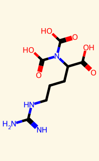 N=C(N)NCCCC(C(=O)O)N(C(=O)O)C(=O)O